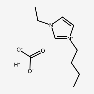 CCCC[n+]1ccn(CC)c1.O=C([O-])[O-].[H+]